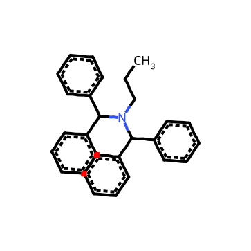 CCCN(C(c1ccccc1)c1ccccc1)C(c1ccccc1)c1ccccc1